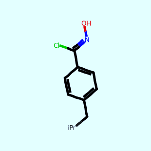 CC(C)Cc1ccc(C(Cl)=NO)cc1